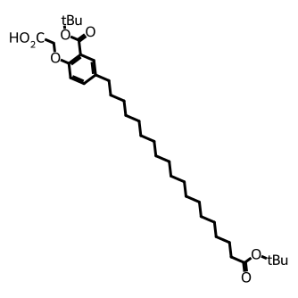 CC(C)(C)OC(=O)CCCCCCCCCCCCCCCCCCc1ccc(OCC(=O)O)c(C(=O)OC(C)(C)C)c1